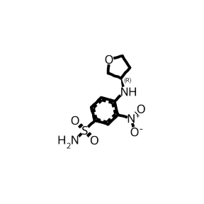 NS(=O)(=O)c1ccc(N[C@@H]2CCOC2)c([N+](=O)[O-])c1